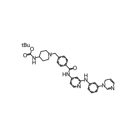 CC(C)(C)OC(=O)NC1CCN(Cc2ccc(C(=O)Nc3ccnc(Nc4cccc(N5C=NC=CC5)c4)c3)cc2)CC1